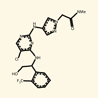 CNC(=O)Cn1cc(Nc2ncc(Cl)c(NC(CO)c3ccccc3C(F)(F)F)n2)cn1